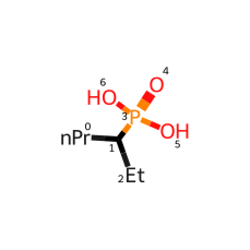 [CH2]CCC(CC)P(=O)(O)O